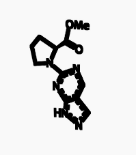 COC(=O)[C@@H]1CCCN1c1ncc2cn[nH]c2n1